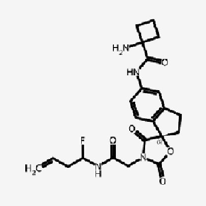 C=CCC(F)NC(=O)CN1C(=O)O[C@]2(CCc3cc(NC(=O)C4(N)CCC4)ccc32)C1=O